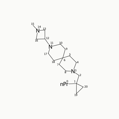 CCCC1(CN2CCC3(CC2)CCN(C2CN(C)C2)CC3)CC1